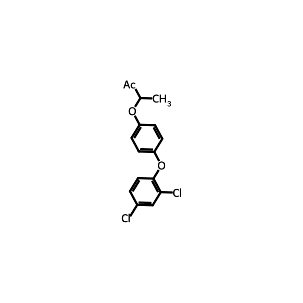 CC(=O)C(C)Oc1ccc(Oc2ccc(Cl)cc2Cl)cc1